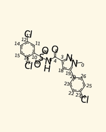 Cn1nc(C(=O)NS(=O)(=O)c2cc(Cl)ccc2Cl)cc1-c1ccc(Cl)cc1